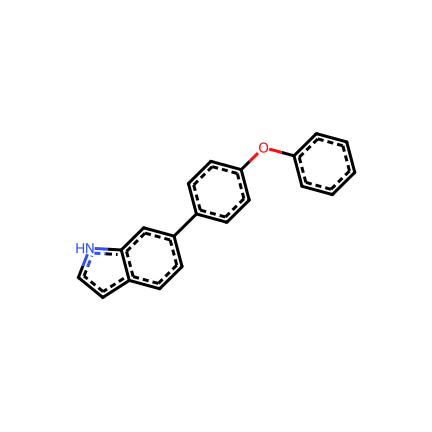 c1ccc(Oc2ccc(-c3ccc4cc[nH]c4c3)cc2)cc1